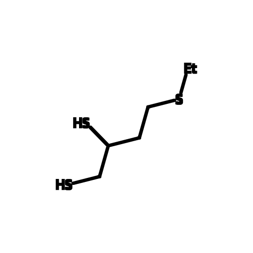 CCSCCC(S)CS